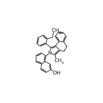 CCc1ccccc1-c1c2c(c(C)n1-c1cccc3ccc(O)cc13)CCc1ccccc1-2